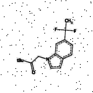 CC(C)(C)C(=O)Cn1ccc2ccc(C(C)(F)F)cc21